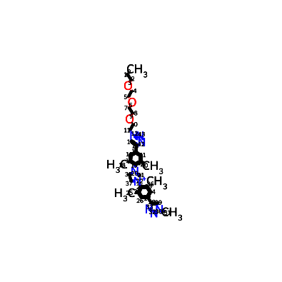 CCCOCCOCCOCCn1cc(-c2cc(C)c(N3C=[N+](c4c(C)cc(-c5cn(C)nn5)cc4C)CC3)c(C)c2)nn1